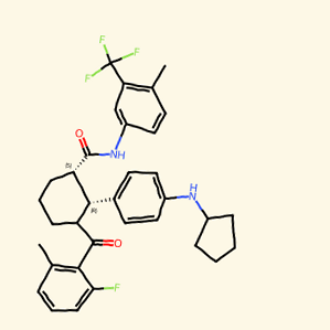 Cc1ccc(NC(=O)[C@H]2CCCC(C(=O)c3c(C)cccc3F)[C@H]2c2ccc(NC3CCCC3)cc2)cc1C(F)(F)F